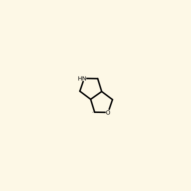 [CH]1OCC2CNCC12